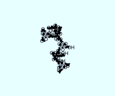 COC(=O)CC(C(=O)OCC(O)Cn1c(=O)n(CC2CO2)c(=O)n(CC2CO2)c1=O)C(CC(=O)OCCn1c(=O)n(CCO)c(=O)n(CCOC(=O)CC(C(=O)OCC(O)Cn2c(=O)n(CC3CO3)c(=O)n(CC3CO3)c2=O)C(CC(=O)OC(C(=O)OC)C(C)C(=O)OC)C(=O)OCC(C)O)c1=O)C(=O)OCC(C)O